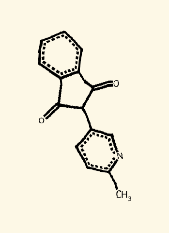 Cc1ccc(C2C(=O)c3ccccc3C2=O)cn1